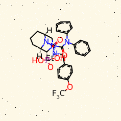 CCN(Cc1ccc(OC(F)(F)F)cc1)C(=O)N1[C@H]2CCC[C@@H]1[C@@H](P(=O)(O)O)N(C(=O)N(c1ccccc1)c1ccccc1)C2